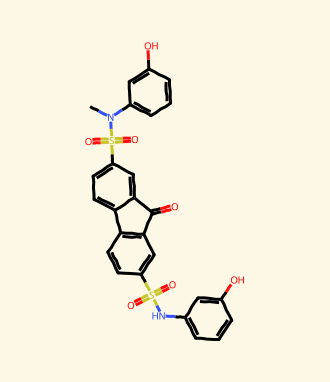 CN(c1cccc(O)c1)S(=O)(=O)c1ccc2c(c1)C(=O)c1cc(S(=O)(=O)Nc3cccc(O)c3)ccc1-2